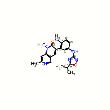 Cc1cc2c(cn1)cc(-c1cc(Nc3noc(C(C)C)n3)ccc1C)c(=O)n2C